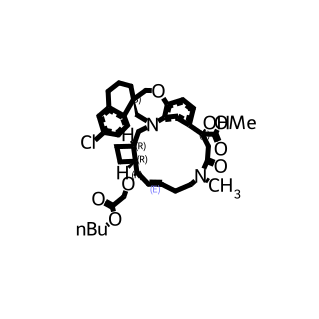 CCCCOC(=O)CO[C@H]1/C=C/CCN(C)C(=O)C[C@](O)(C(=O)OC)c2ccc3c(c2)N(C[C@@H]2CC[C@H]21)C[C@@]1(CCCc2cc(Cl)ccc21)CO3